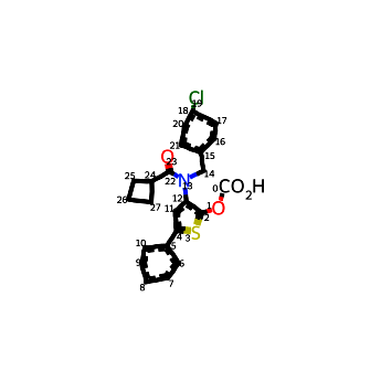 O=C(O)Oc1sc(-c2ccccc2)cc1N(Cc1ccc(Cl)cc1)C(=O)C1CCC1